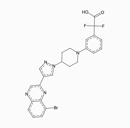 O=C(O)C(F)(F)c1cccc(N2CCC(n3cc(-c4cnc5cccc(Br)c5n4)cn3)CC2)c1